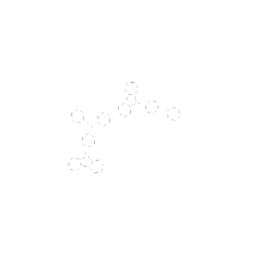 Cc1ccc(-c2ccc(-n3c4ccccc4c4cc(-c5ccc(N(c6ccccc6)c6ccc(-n7c8ccccc8c8ccccc87)cc6)cc5)ccc43)cc2)cc1